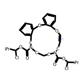 CC(C)C(Cl)OC(=O)N1C/C=C\Oc2ccccc2Oc2ccccc2CN(C(=O)OC(Cl)C(C)C)CCC1